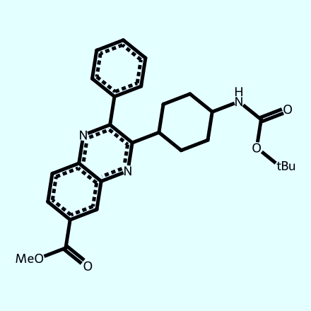 COC(=O)c1ccc2nc(-c3ccccc3)c(C3CCC(NC(=O)OC(C)(C)C)CC3)nc2c1